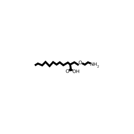 CCCCCCCCCCC(CCOCCN)C(=O)O